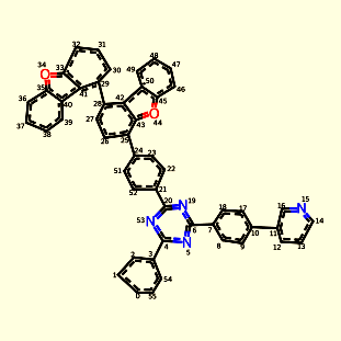 c1ccc(-c2nc(-c3ccc(-c4cccnc4)cc3)nc(-c3ccc(-c4ccc(-c5cccc6oc7ccccc7c56)c5c4oc4ccccc45)cc3)n2)cc1